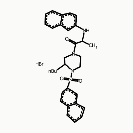 Br.CCCCC1CN(C(=O)C(C)Nc2ccc3ccccc3c2)CCN1S(=O)(=O)c1ccc2ccccc2c1